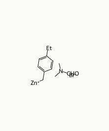 CCc1ccc([CH2][Zn+])cc1.CN(C)C=O.[Br-]